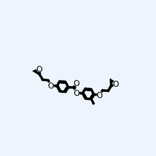 Cc1cc(OC(=O)c2ccc(OCCC3CO3)cc2)ccc1OCCC1CO1